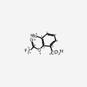 CC(C)(C)c1cccc(C(=O)O)c1OC(=O)C(F)(F)F